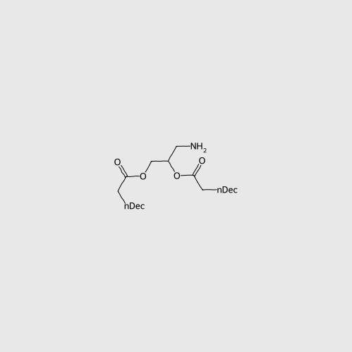 CCCCCCCCCCCC(=O)OCC(CN)OC(=O)CCCCCCCCCCC